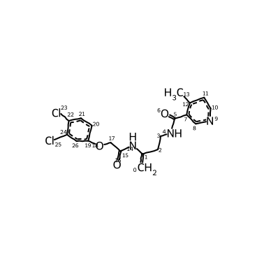 C=C(CCNC(=O)c1cnccc1C)NC(=O)COc1ccc(Cl)c(Cl)c1